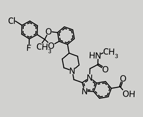 CNC(=O)Cn1c(CN2CCC(c3cccc4c3OC(C)(c3ccc(Cl)cc3F)O4)CC2)nc2ccc(C(=O)O)cc21